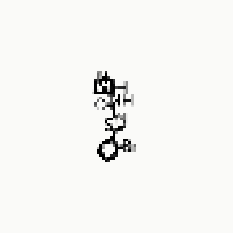 O=C(N[C@H]1CN2CCC1CC2)c1ncc(-c2ccccc2Br)s1